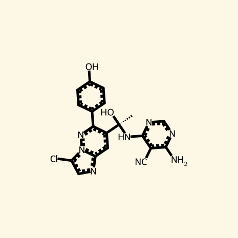 C[C@](O)(Nc1ncnc(N)c1C#N)c1cc2ncc(Cl)n2nc1-c1ccc(O)cc1